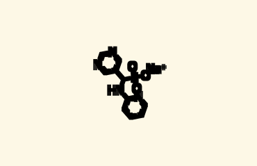 O=S(=O)([O-])C(Nc1ccccn1)c1cncnc1.[Na+]